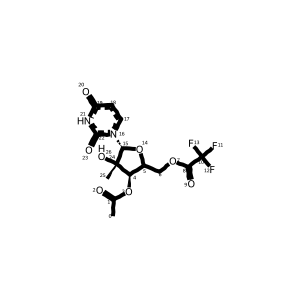 CC(=O)O[C@@H]1C(COC(=O)C(F)(F)F)O[C@@H](n2ccc(=O)[nH]c2=O)[C@@]1(C)O